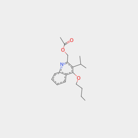 CCCCOc1c(C(C)C)c(COC(C)=O)nc2ccccc12